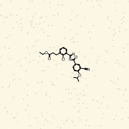 CCOC(=O)CCc1cccc(-c2noc(-c3ccc(OC(C)C)c(C#N)c3)n2)c1Cl